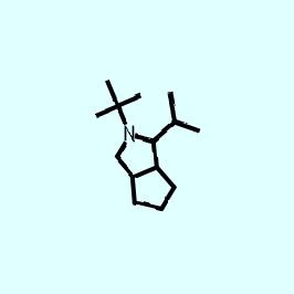 CC(C)C1C2CCCC2CN1C(C)(C)C